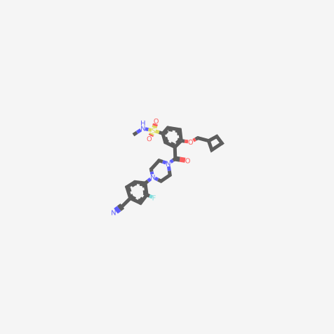 CNS(=O)(=O)c1ccc(OCC2CCC2)c(C(=O)N2CCN(c3ccc(C#N)cc3F)CC2)c1